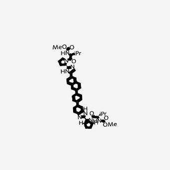 COC(=O)NC(C(=O)N1CCC[C@H]1c1ncc(-c2ccc3cc(-c4ccc(-c5ccc6nc([C@@H]7[C@H]8CC[C@H](C8)N7C(=O)[C@@H](NC(=O)OC)C(C)C)[nH]c6c5)cc4)ccc3c2)[nH]1)C(C)C